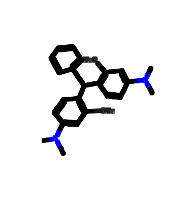 COc1cc(N(C)C)ccc1C(c1ccccc1)c1ccc(N(C)C)cc1OC